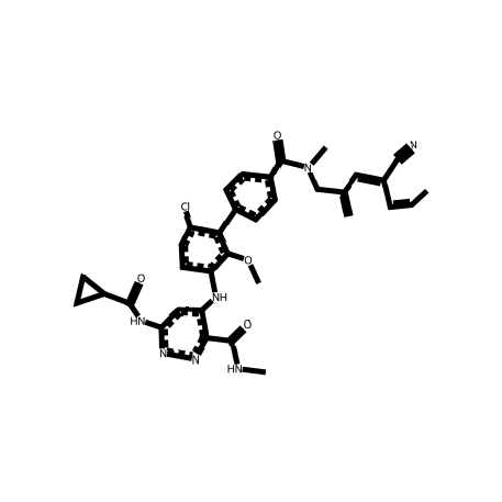 C=C(/C=C(C#N)\C=C/C)CN(C)C(=O)c1ccc(-c2c(Cl)ccc(Nc3cc(NC(=O)C4CC4)nnc3C(=O)NC)c2OC)cc1